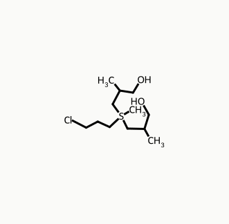 CC(CO)CS(C)(CCCCl)CC(C)CO